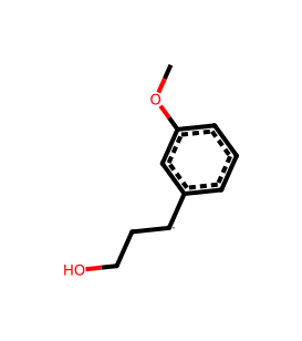 COc1cccc([CH]CCO)c1